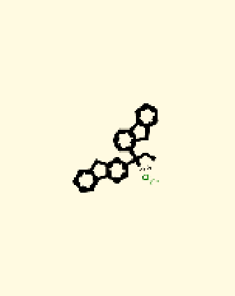 CC[C]([Zr+2])(c1ccc2c(c1)Cc1ccccc1-2)c1cccc2c1Cc1ccccc1-2.[Cl-].[Cl-]